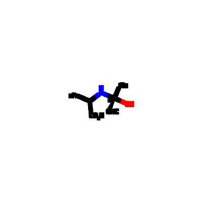 CCCC(N[C@@](O)(C=O)C(C)(C)C)C(=O)O